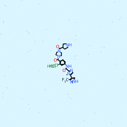 Cl.Cl.Cn1c(-c2c[nH]nc2C(F)(F)F)cnc1C(=O)Nc1ccc(C(=O)N2CCN(C(=O)C3CCNCC3)CC2)c(Cl)c1